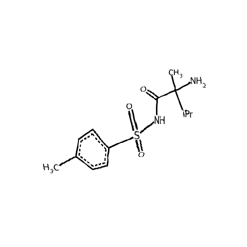 Cc1ccc(S(=O)(=O)NC(=O)C(C)(N)C(C)C)cc1